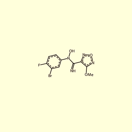 COc1nonc1C(=N)N(O)c1ccc(F)c(Br)c1